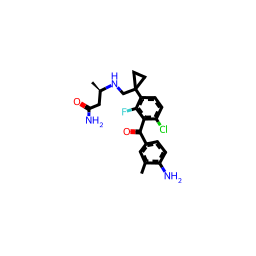 Cc1cc(C(=O)c2c(Cl)ccc(C3(CN[C@H](C)CC(N)=O)CC3)c2F)ccc1N